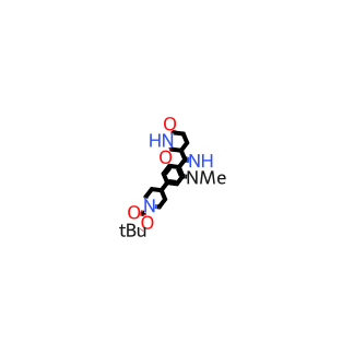 CNc1cc(C2CCN(C(=O)OC(C)(C)C)CC2)ccc1C(=N)C1CCC(=O)NC1=O